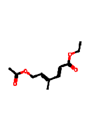 CCOC(=O)C=CC(C)=CCOC(C)=O